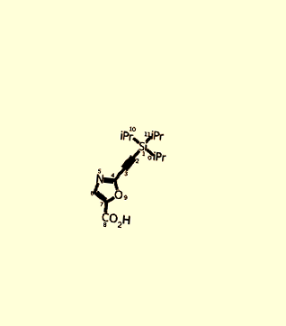 CC(C)[Si](C#Cc1ncc(C(=O)O)o1)(C(C)C)C(C)C